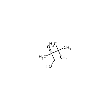 CC(C)(C)P(C)(=O)CO